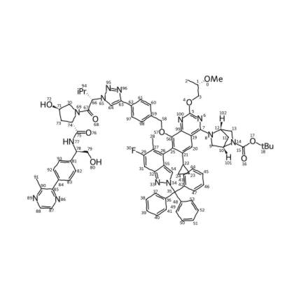 CO[C@@H](C)COc1nc(N2C[C@@H]3C[C@H]2CN3C(=O)OC(C)(C)C)c2cc(C3CC3)c(-c3c(C)c(F)cc4nn(C(c5ccccc5)(c5ccccc5)c5ccccc5)cc34)c(OCc3ccc(-c4cn([C@H](C(=O)N5C[C@H](O)C[C@H]5C(=O)N[C@@H](CO)c5ccc(-c6nccnc6C)cc5)C(C)C)nn4)cc3)c2n1